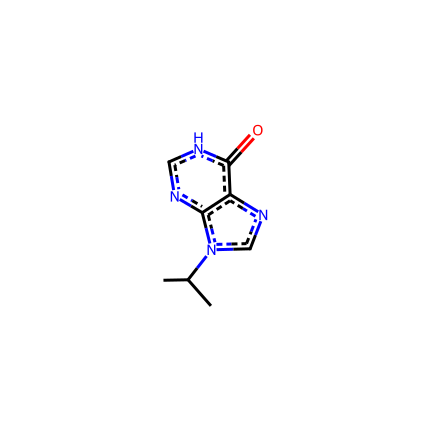 CC(C)n1cnc2c(=O)[nH]cnc21